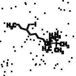 CCCC(CI)CCCCO[Si](C)(C)C(C)(C)C